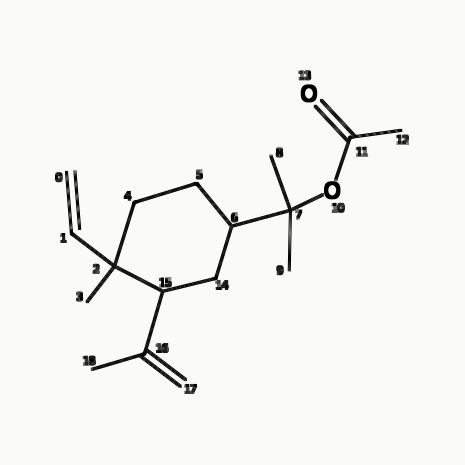 C=CC1(C)CCC(C(C)(C)OC(C)=O)CC1C(=C)C